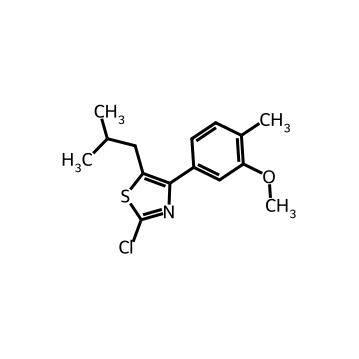 COc1cc(-c2nc(Cl)sc2CC(C)C)ccc1C